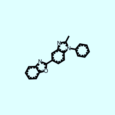 Cc1nc2cc(-c3nc4ccccc4o3)ccc2n1-c1ccccc1